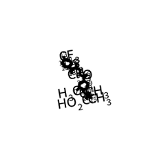 Cc1cc(C(=O)CCc2sc3cc(C(F)(F)F)ccc3c2C)ccc1OC(C)(C)C(=O)O